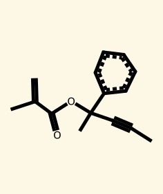 C=C(C)C(=O)OC(C)(C#CC)c1ccccc1